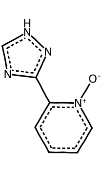 [O-][n+]1ccccc1-c1nc[nH]n1